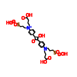 O=C(O)CCCN(CCCSOOO)c1ccc(C2=C(O)C(C3C=CC(=[N+](CCCSOOO)CCCC(=O)O)C=C3)C2=O)cc1